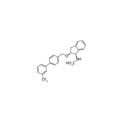 O=C(O)N[C@@H]1c2ccccc2C[C@@H]1OCc1ccc(-c2cccc(C(F)(F)F)c2)cc1